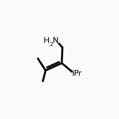 CC(C)=C(CN)C(C)C